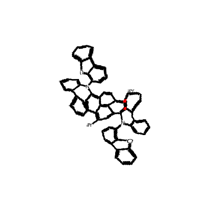 CC(C)c1cc2c(N(c3ccccc3-c3ccccc3)c3cccc4c3oc3ccccc34)cc(C(C)C)c3ccc4c(N(c5ccccc5-c5ccccc5)c5cccc6c5oc5ccccc56)ccc1c4c32